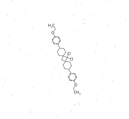 CCOc1ccc(C2CCC3(CC2)CC2(CCC(c4ccc(OCC)cc4)CC2)C3(Cl)Cl)cc1